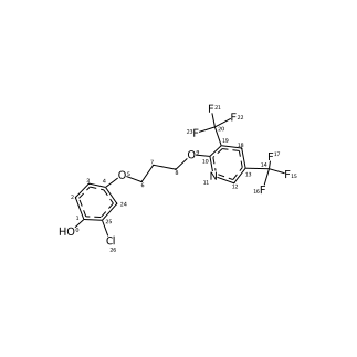 Oc1ccc(OCCCOc2ncc(C(F)(F)F)cc2C(F)(F)F)cc1Cl